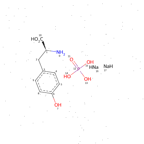 N[C@@H](Cc1ccc(O)cc1)C(=O)O.O=P(O)(O)O.[NaH].[NaH]